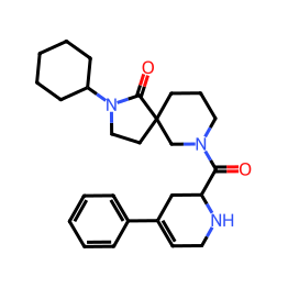 O=C(C1CC(c2ccccc2)=CCN1)N1CCCC2(CCN(C3CCCCC3)C2=O)C1